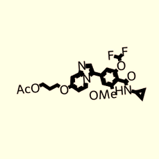 COc1cc(-c2cnc3cc(OCCCOC(C)=O)ccn23)cc(OC(F)F)c1C(=O)NC1CC1